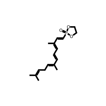 CC(C)=CCC=C(C)C=CC=C(C)C=CP1(=O)OCCO1